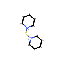 C1CCN(SN2CCCCC2)CC1